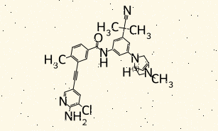 Cc1ccc(C(=O)Nc2cc(N3CC4=C[C@H]3CN4C)cc(C(C)(C)C#N)c2)cc1C#Cc1cnc(N)c(Cl)c1